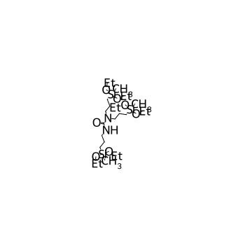 CCO[Si](C)(CCCNC(=O)N(CCC[Si](C)(OCC)OCC)CCC[Si](C)(OCC)OCC)OCC